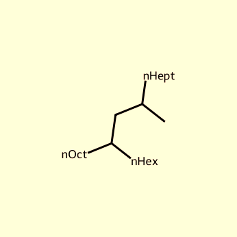 CCCCCCCCC(CCCCCC)CC(C)CCCCCCC